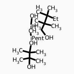 CC(C)(O)C(C)(C)O.CC(C)O.CCC(C)(C)C(C)(C)CO.CCCC(C)C